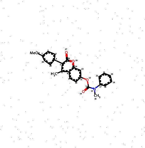 COc1ccc(-c2c(C)c3ccc(OC(=O)N(C)c4ccccc4)cc3oc2=O)cc1